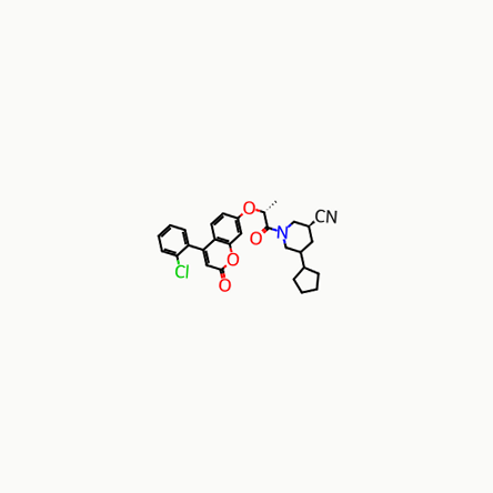 C[C@@H](Oc1ccc2c(-c3ccccc3Cl)cc(=O)oc2c1)C(=O)N1CC(C2CCCC2)C[C@H](C#N)C1